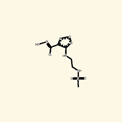 CS(=O)(=O)NCCNc1nonc1C(Cl)=NO